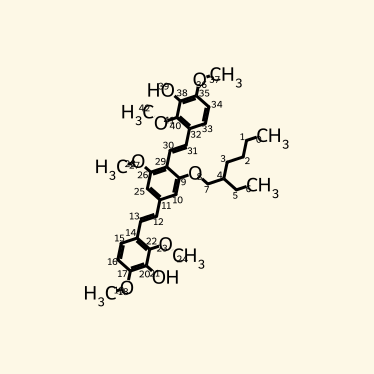 CCCCC(CC)COc1cc(C=Cc2ccc(OC)c(O)c2OC)cc(OC)c1C=Cc1ccc(OC)c(O)c1OC